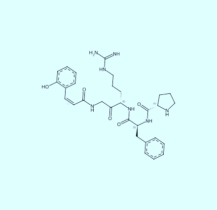 N=C(N)NCCC[C@H](NC(=O)[C@H](Cc1ccccc1)NC(=O)[C@@H]1CCCN1)C(=O)CNC(=O)/C=C\c1ccccc1O